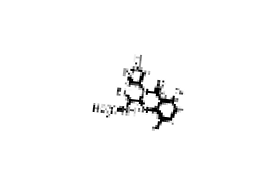 CCC(NC(=O)O)c1nc2c(C)ccc(F)c2c(=O)n1-c1cn[nH]c1